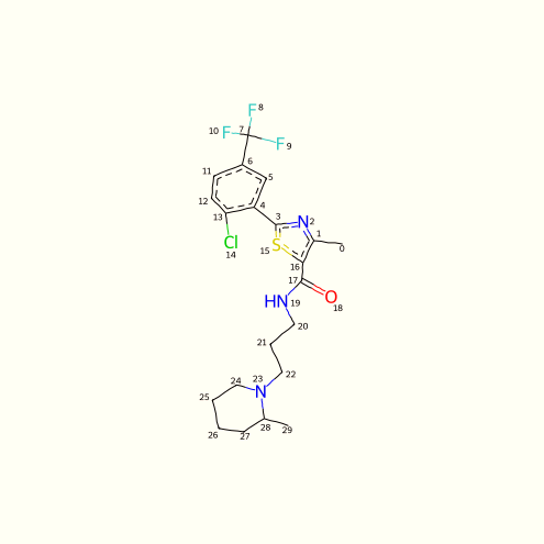 Cc1nc(-c2cc(C(F)(F)F)ccc2Cl)sc1C(=O)NCCCN1CCCCC1C